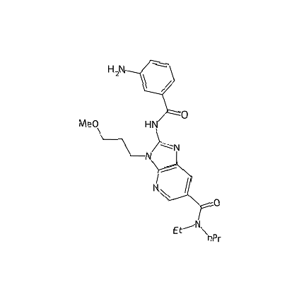 CCCN(CC)C(=O)c1cnc2c(c1)nc(NC(=O)c1cccc(N)c1)n2CCCOC